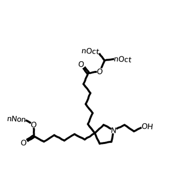 CCCCCCCCCOC(=O)CCCCCC1(CCCCCC(=O)OC(CCCCCCCC)CCCCCCCC)CCN(CCO)C1